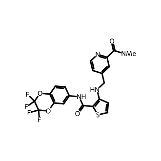 CNC(=O)c1cc(CNc2ccsc2C(=O)Nc2ccc3c(c2)OC(F)(F)C(F)(F)O3)ccn1